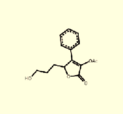 CC(=O)OC1=C(c2ccccc2)C(CCCO)OC1=O